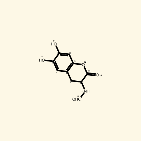 O=CNC1Cc2cc(O)c(O)cc2OC1=O